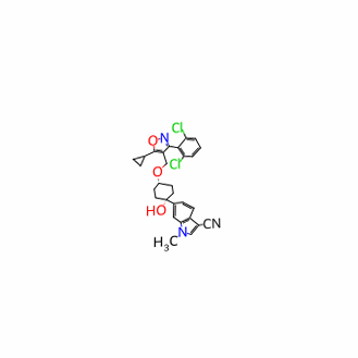 Cn1cc(C#N)c2ccc([C@]3(O)CC[C@@H](OCc4c(-c5c(Cl)cccc5Cl)noc4C4CC4)CC3)cc21